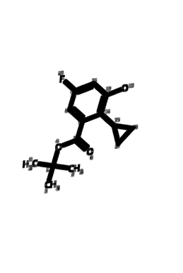 CC(C)(C)OC(=O)c1cc(F)cc([O])c1C1CC1